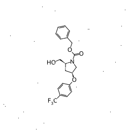 O=C(OCc1ccccc1)N1C[C@@H](Oc2ccc(C(F)(F)F)cc2)C[C@H]1CO